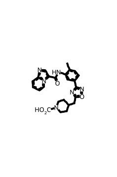 Cc1ccc(-c2noc(CC3CCN(C(=O)O)CC3)n2)cc1NC(=O)c1cnc2ccccn12